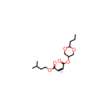 CCCC1OCC(OC(=O)/C=C\C(=O)OCCC(C)C)CO1